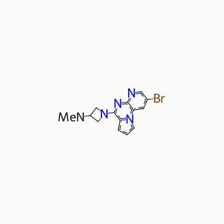 CNC1CN(c2nc3ncc(Br)cc3n3cccc23)C1